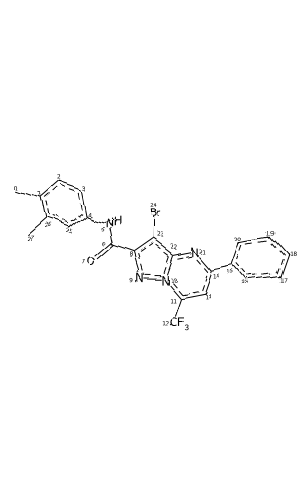 Cc1ccc(NC(=O)c2nn3c(C(F)(F)F)cc(-c4ccccc4)nc3c2Br)cc1C